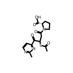 CC(=O)SC(CC(=O)N1CCC[C@H]1C(=O)O)C(=O)c1ccnc(C)n1